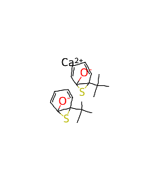 CC(C)(C)C12C=CC=CC1([O-])S2.CC(C)(C)C12C=CC=CC1([O-])S2.[Ca+2]